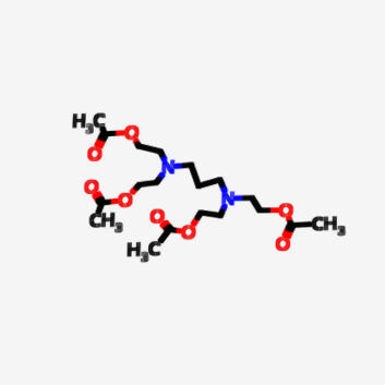 CC(=O)OCCN(CCCN(CCOC(C)=O)CCOC(C)=O)CCOC(C)=O